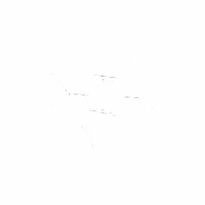 COc1nc(C=O)c([N+](=O)[O-])cc1Br